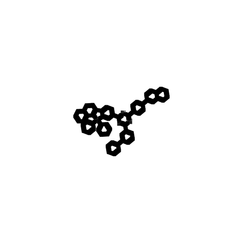 c1ccc(-c2cccc(-c3nc(-c4ccc(-c5ccc6ccccc6c5)cc4)nc(-c4ccc5c(c4)[Si](c4ccccc4)(c4ccccc4)c4c-5ccc5ccccc45)n3)c2)cc1